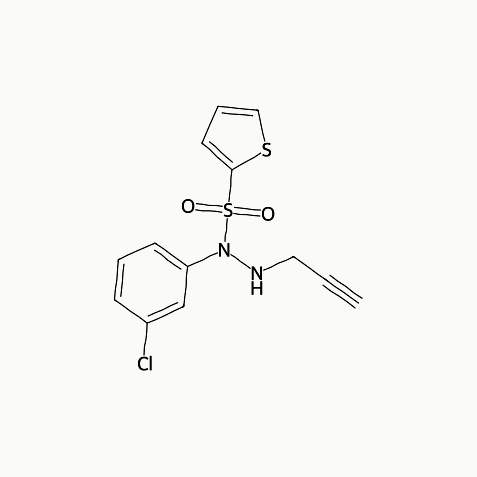 C#CCNN(c1cccc(Cl)c1)S(=O)(=O)c1cccs1